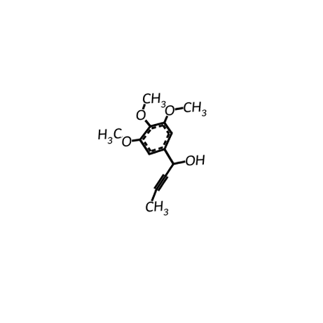 CC#CC(O)c1cc(OC)c(OC)c(OC)c1